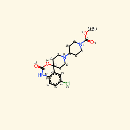 CC(C)(C)OC(=O)N1CCC(N2CCC3(CC2)OC(=O)Nc2ccc(Cl)cc23)CC1